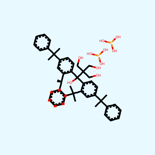 CC(C)(c1ccccc1)c1ccc(C(O)(c2ccc(C(C)(C)c3ccccc3)cc2C(C)(C)c2ccccc2)C(CO)(CO)CO)c(C(C)(C)c2ccccc2)c1.OP(O)O.OP(O)O